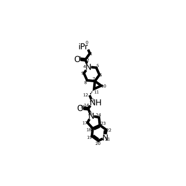 CC(C)CC(=O)N1CCC2(CC1)C[C@@H]2CNC(=O)N1Cc2ccncc2C1